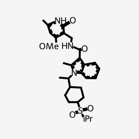 COc1cc(C)[nH]c(=O)c1CNC(=O)c1c(C)n(C(C)C2CCC(S(=O)(=O)C(C)C)CC2)c2ccccc12